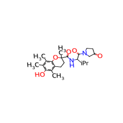 Cc1c(C)c2c(c(C)c1O)CCC(C)(C(=O)NC(C(=O)N1CCC(=O)C1)C(C)C)O2